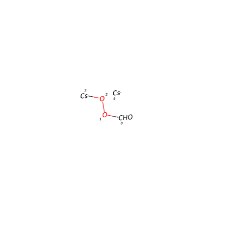 O=CO[O][Cs].[Cs]